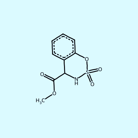 COC(=O)C1NS(=O)(=O)Oc2ccccc21